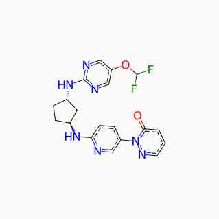 O=c1cccnn1-c1ccc(N[C@H]2CC[C@H](Nc3ncc(OC(F)F)cn3)C2)nc1